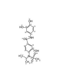 CC(C)N(c1ccc(C(=O)Nc2ccc(O)c(O)c2)cc1O)S(C)(=O)=O